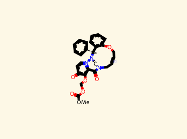 COC(=O)OCOc1c2n(ccc1=O)N1CN(C/C=C\COc3ccccc3[C@H]1c1ccccc1)C2=O